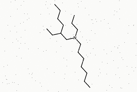 CCCCCCCN(CCC)CC(CC)CCCC